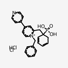 Cl.O=P(O)(O)C1(Cc2cc(-c3ccncc3)cc[n+]2Cc2ccccc2)C=CC=CC1.[Cl-]